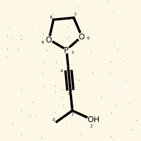 CC(O)C#CP1OCCO1